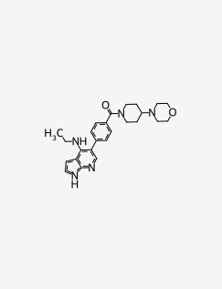 CCNc1c(-c2ccc(C(=O)N3CCC(N4CCOCC4)CC3)cc2)cnc2[nH]ccc12